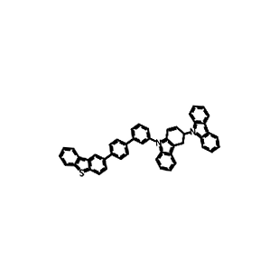 C1=CC(n2c3ccccc3c3ccccc32)Cc2c1n(-c1cccc(-c3ccc(-c4ccc5sc6ccccc6c5c4)cc3)c1)c1ccccc21